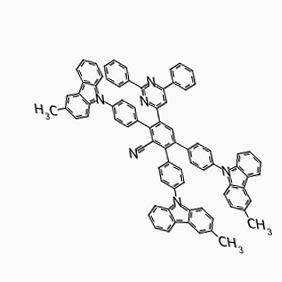 Cc1ccc2c(c1)c1ccccc1n2-c1ccc(-c2cc(-c3cc(-c4ccccc4)nc(-c4ccccc4)n3)c(-c3ccc(-n4c5ccccc5c5cc(C)ccc54)cc3)c(C#N)c2-c2ccc(-n3c4ccccc4c4cc(C)ccc43)cc2)cc1